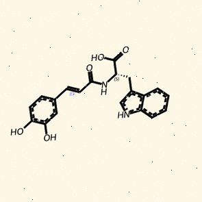 O=C(/C=C/c1ccc(O)c(O)c1)N[C@@H](Cc1c[nH]c2ccccc12)C(=O)O